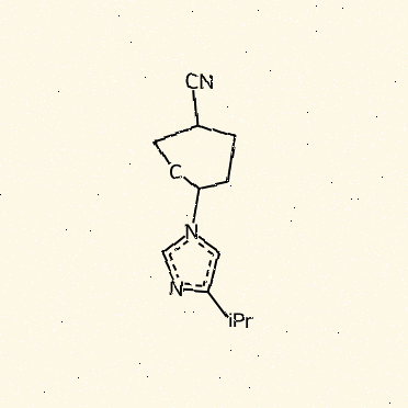 CC(C)c1cn(C2CCC(C#N)CC2)cn1